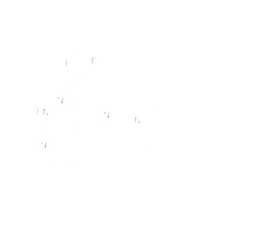 CC(C)CC1CCCN(c2ccc(C(F)(F)F)c(-c3n[nH]c4ncccc34)n2)C1